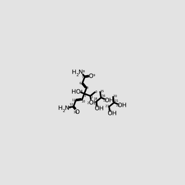 CC(O)C(O)(C=CC(N)=O)C=CC(N)=O.CC(O)CO.CC(O)CO